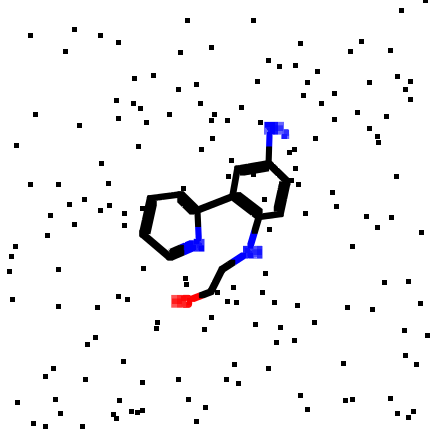 Nc1ccc(NCCO)c(-c2ccccn2)c1